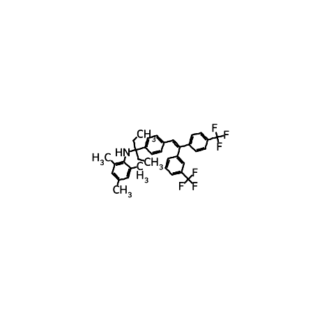 CCC(CC)(Nc1c(C)cc(C)cc1C)c1ccc(C=C(c2ccc(C(F)(F)F)cc2)c2cccc(C(F)(F)F)c2)cc1